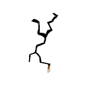 C=CCC(/C=C/C(CC)CCCBr)CC/C=C\C